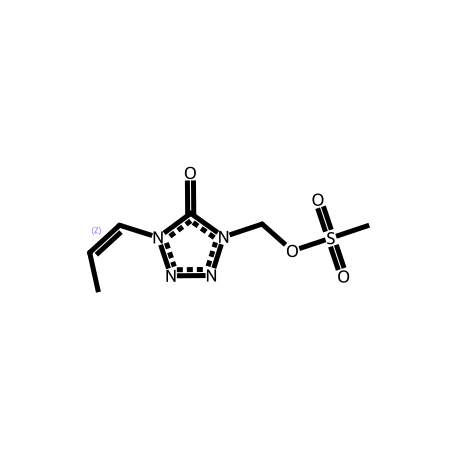 C/C=C\n1nnn(COS(C)(=O)=O)c1=O